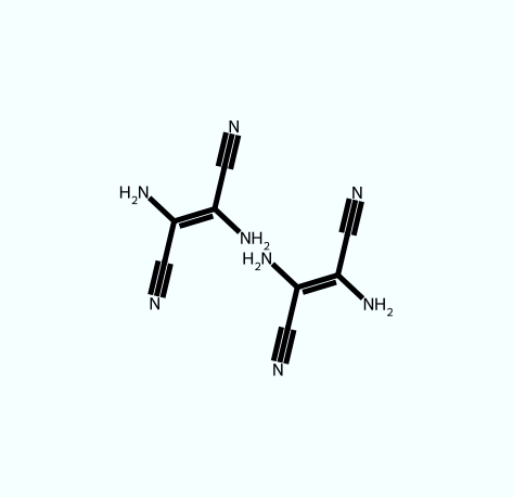 N#CC(N)=C(N)C#N.N#CC(N)=C(N)C#N